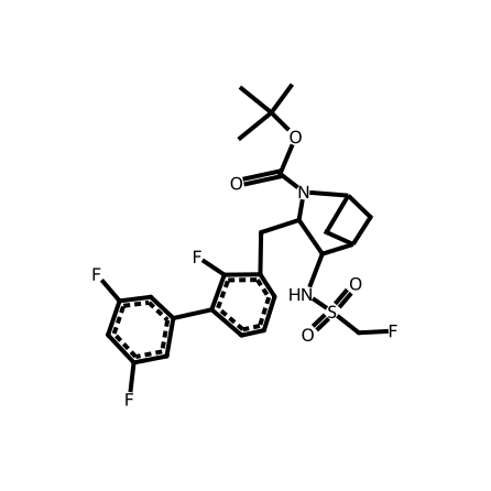 CC(C)(C)OC(=O)N1C2CC(C2)C(NS(=O)(=O)CF)C1Cc1cccc(-c2cc(F)cc(F)c2)c1F